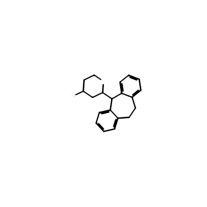 NC1CCNC(C2c3ccccc3CCc3ccccc32)C1